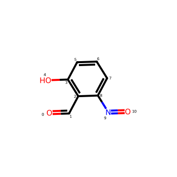 O=Cc1c(O)cccc1N=O